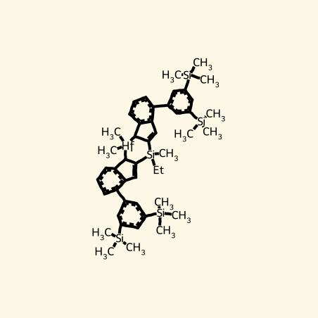 CC[Si]1(C)C2=Cc3c(-c4cc([Si](C)(C)C)cc([Si](C)(C)C)c4)cccc3[CH]2[Hf]([CH3])([CH3])[CH]2C1=Cc1c(-c3cc([Si](C)(C)C)cc([Si](C)(C)C)c3)cccc12